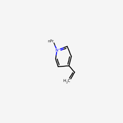 C=Cc1cc[n+](CCC)cc1